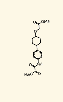 COC(=O)COC1CCC(c2ccc(NC(=O)C(=O)OC)cc2)CC1